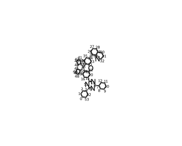 c1ccc(-c2nc(-c3ccccc3)nc(-c3ccc4c(c3)Oc3cc(-c5cccc6cccnc56)ccc3C43c4ccccc4-c4ccccc43)n2)cc1